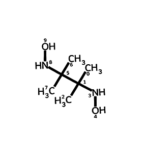 CC(C)(NO)C(C)(C)NO